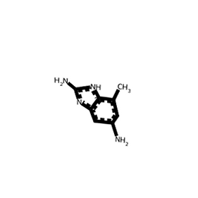 Cc1cc(N)cc2nc(N)[nH]c12